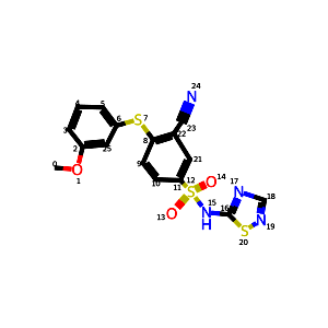 COc1cccc(Sc2ccc(S(=O)(=O)Nc3ncns3)cc2C#N)c1